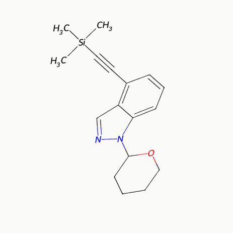 C[Si](C)(C)C#Cc1cccc2c1cnn2C1CCCCO1